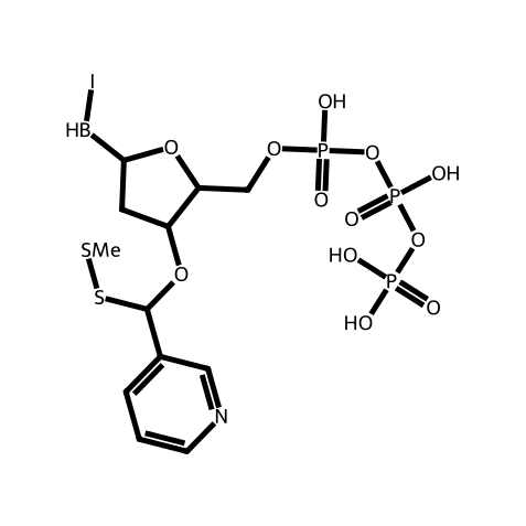 CSSC(OC1CC(BI)OC1COP(=O)(O)OP(=O)(O)OP(=O)(O)O)c1cccnc1